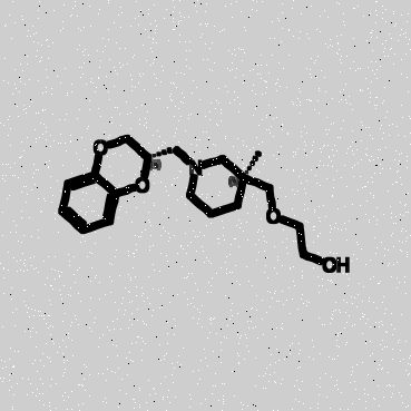 C[C@]1(COCCO)CCCN(C[C@H]2COc3ccccc3O2)C1